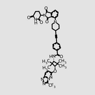 CC1(C)[C@H](NC(=O)c2ccc(C#CC3CCN(c4cccc5c4C(=O)N(C4CCC(=O)NC4=O)C5=O)CC3)cc2)C(C)(C)[C@H]1Oc1ccc2nnc(C(F)(F)F)n2n1